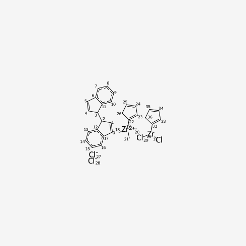 C1=CC(C2C=Cc3ccccc32)c2ccccc21.[CH3][Zr+2]([CH3])([CH3])[C]1=CC=CC1.[Cl-].[Cl-].[Cl][Zr]([Cl])[C]1=CC=CC1